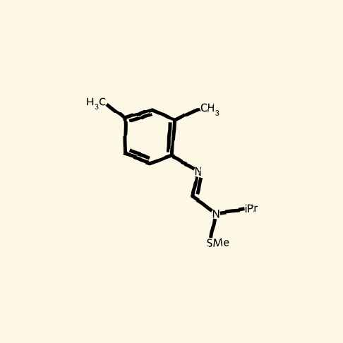 CSN(C=Nc1ccc(C)cc1C)C(C)C